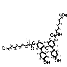 CCCCCCCCCCCCCCCCNC(=O)Oc1ccc(Oc2ccc(OC(=O)NCCCCCCCCCCCCCCCC)cc2-c2ccc(O)cc2)c(-c2ccc(O)cc2)c1